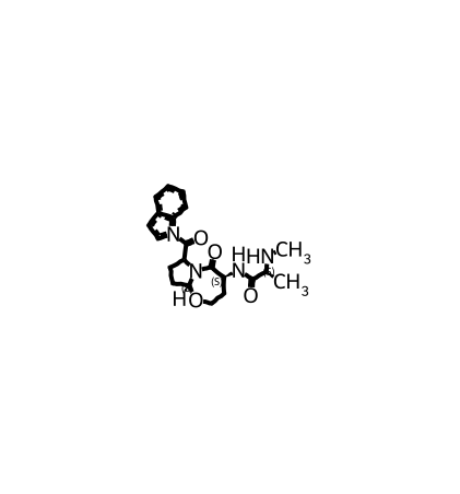 CN[C@@H](C)C(=O)N[C@H]1CCO[C@H]2CCC(C(=O)n3ccc4ccccc43)N2C1=O